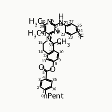 CCCCCc1ccc(C(=O)Oc2ccc3c(c2)CCN(c2nc(Nc4ccc(F)cc4)nc(C)c2C)C3C)cc1